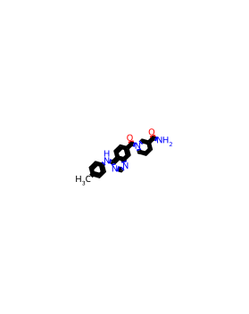 Cc1ccc(Nc2ncnc3cc(C(=O)N4CCCC(C(N)=O)C4)ccc23)cc1